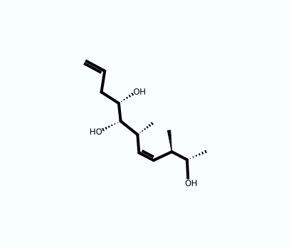 C=CC[C@H](O)[C@@H](O)[C@H](C)/C=C\[C@@H](C)[C@H](C)O